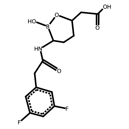 O=C(O)CC1CCC(NC(=O)Cc2cc(F)cc(F)c2)B(O)O1